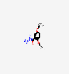 NNC(=O)c1cc(OCC(F)(F)F)ccc1OCC(F)(F)F